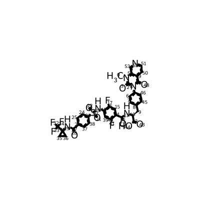 Cn1c(=O)n(-c2ccc(C[C@H](NC(=O)c3cc(F)c(NS(=O)(=O)c4ccc(C(=O)NC5(C(F)(F)F)CC5)cc4)cc3F)C(=O)O)cc2)c(=O)c2ccncc21